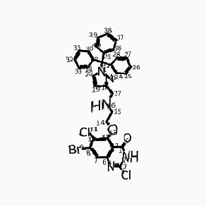 O=c1[nH]c(Cl)nc2cc(Br)c(Cl)c(OCCNCc3ccn(C(c4ccccc4)(c4ccccc4)c4ccccc4)n3)c12